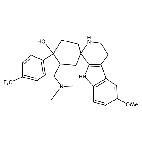 COc1ccc2[nH]c3c(c2c1)CCNC31CCC(O)(c2ccc(C(F)(F)F)cc2)C(CN(C)C)C1